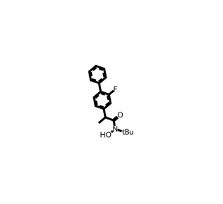 CC(C(=O)N(O)C(C)(C)C)c1ccc(-c2ccccc2)c(F)c1